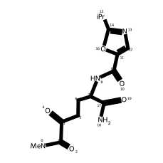 CNC(=O)C(=O)CCC(NC(=O)c1cnc(C(C)C)o1)C(N)=O